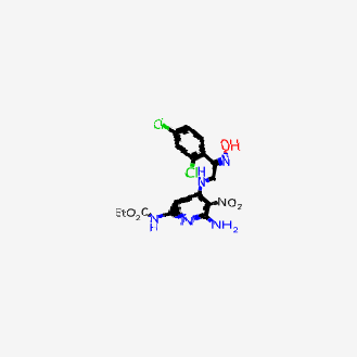 CCOC(=O)Nc1cc(NC/C(=N/O)c2ccc(Cl)cc2Cl)c([N+](=O)[O-])c(N)n1